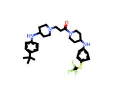 CC(C)(C)c1ccc(NC2CCN(CCC(=O)N3CCC(Nc4ccc(SC(F)(F)F)cc4)CC3)CC2)cc1